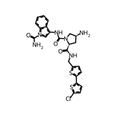 NC(=O)n1cc(NC(=O)N2C[C@@H](N)C[C@H]2C(=O)NCc2ccc(-c3ccc(Cl)s3)s2)c2ccccc21